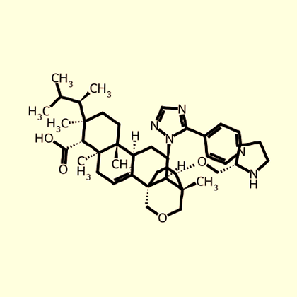 CC(C)[C@@H](C)[C@@]1(C)CC[C@]2(C)[C@H]3CC[C@@H]4[C@@]5(COC[C@@]4(C)[C@@H](OC[C@@H]4CCCN4)[C@H](n4ncnc4-c4ccncc4)C5)C3=CC[C@@]2(C)[C@@H]1C(=O)O